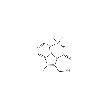 Cc1c(C=N)n2c3c(cccc13)C(C)(C)OC2=O